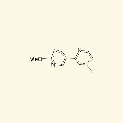 COc1ccc(-c2cc(C)ccn2)cn1